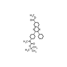 COC(=O)c1ccc2nc(-c3ccccc3)c(-c3ccc(N(C)C(=O)OC(C)(C)C)cc3)nc2c1